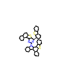 c1ccc2c(c1)ccc1sc3c(-c4cccc5c4sc4ccccc45)nc(-n4c5ccccc5c5c6ccccc6c6sc7ccccc7c6c54)nc3c12